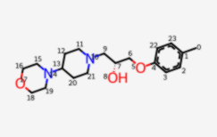 Cc1ccc(OC[C@H](O)CN2CCC(N3CCOCC3)CC2)cc1